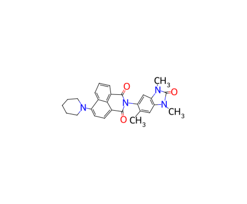 Cc1cc2c(cc1N1C(=O)c3cccc4c(N5CCCCC5)ccc(c34)C1=O)n(C)c(=O)n2C